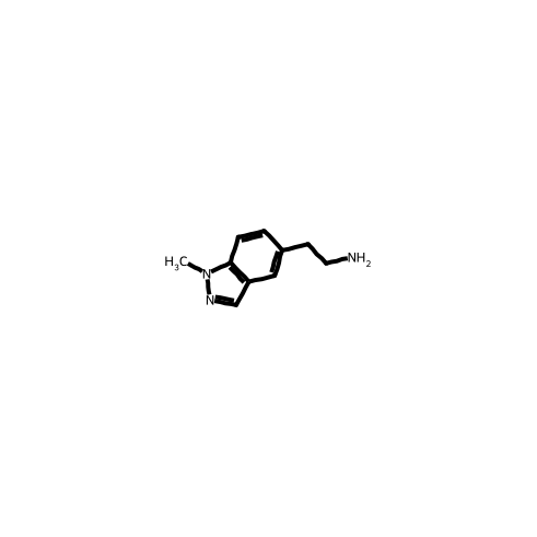 Cn1ncc2cc(CCN)ccc21